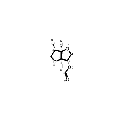 O=CO[C@H]1CO[C@H]2[C@@H]1OC[C@@H]2O